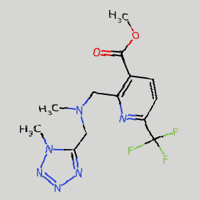 COC(=O)c1ccc(C(F)(F)F)nc1CN(C)Cc1nnnn1C